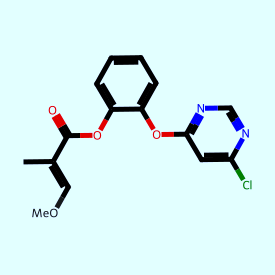 COC=C(C)C(=O)Oc1ccccc1Oc1cc(Cl)ncn1